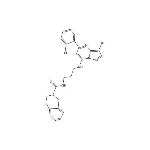 O=C(NCCCNc1cc(-c2ccccc2Cl)nc2c(Br)cnn12)C1CCc2ccccc2C1